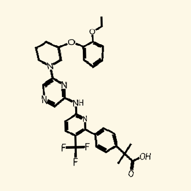 CCOc1ccccc1OC1CCCN(c2cncc(Nc3ccc(C(F)(F)F)c(-c4ccc(C(C)(C)C(=O)O)cc4)n3)n2)C1